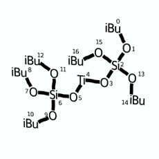 CCC(C)O[Si]([O][Ti][O][Si](OC(C)CC)(OC(C)CC)OC(C)CC)(OC(C)CC)OC(C)CC